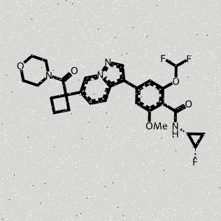 COc1cc(-c2cnn3cc(C4(C(=O)N5CCOCC5)CCC4)ccc23)cc(OC(F)F)c1C(=O)N[C@@H]1C[C@@H]1F